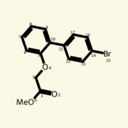 COC(=O)COc1ccccc1-c1ccc(Br)cc1